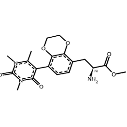 COC(=O)[C@@H](N)Cc1ccc(-c2c(C)n(C)c(=O)n(C)c2=O)c2c1OCCO2